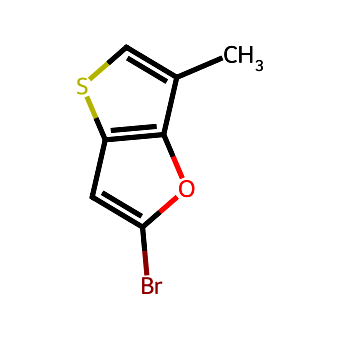 Cc1csc2cc(Br)oc12